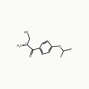 C[C@@H](CO)C(=O)c1ccc(OC(F)F)cc1